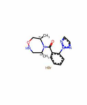 Br.C[C@@H]1CONC[C@H](C)N1C(=O)c1ccccc1-n1nccn1